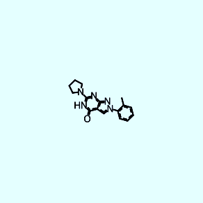 Cc1ccccc1-n1cc2c(=O)[nH]c(N3CCCC3)nc2n1